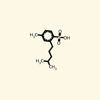 Cc1ccc(S(=O)(=O)O)c(CCCC(C)C)c1